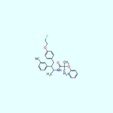 CC(NC(=O)C(C)(C)Oc1ccccn1)C(Cc1ccc(OCCF)cc1)c1cccc(C#N)c1